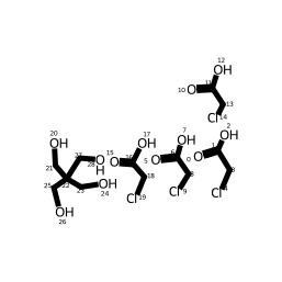 O=C(O)CCl.O=C(O)CCl.O=C(O)CCl.O=C(O)CCl.OCC(CO)(CO)CO